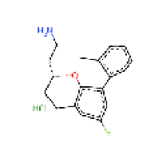 Cc1ccccc1-c1cc(F)cc2c1O[C@@H](CCN)CC2.Cl